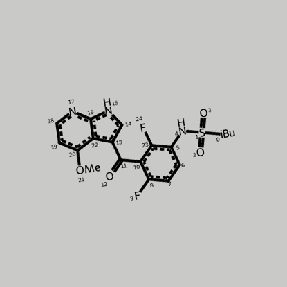 CCC(C)S(=O)(=O)Nc1ccc(F)c(C(=O)c2c[nH]c3nccc(OC)c23)c1F